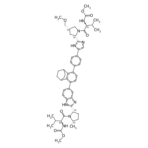 COC[C@H]1C[C@@H](c2ncc(-c3ccc(-c4ccc(-c5ccc6[nH]c([C@@H]7CC[C@H](C)N7C(=O)[C@@H](NC(=O)OC)C(C)C)nc6c5)c5c4C4CCC5CC4)cc3)[nH]2)N(C(=O)[C@@H](NC(=O)OC)C(C)C)C1